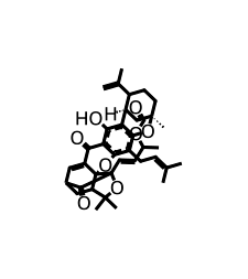 C=C(C)C1CC[C@]2(C)C[C@H]1c1c(O)c3c(c(CC=C(C)C)c1O2)O[C@]12C(=CC4CC1C(C)(C)OC2(/C=C/C(C)OC=O)C4=O)C3=O